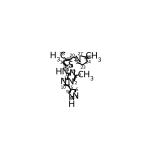 Cc1cn2c(-c3cn[nH]c3)cnc2c(Nc2cc(C)c(CN3CCCC(C)C3)s2)n1